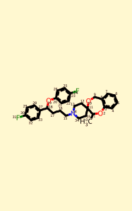 CC1Oc2ccccc2COC12CCN(CCCC(Oc1ccc(F)cc1)c1ccc(F)cc1)CC2